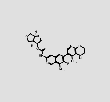 Cc1c(-c2cc3cc(NC(=O)O[C@@H]4CO[C@@H]5COC[C@@H]54)ncc3c(N)c2F)cnc2c1NCCO2